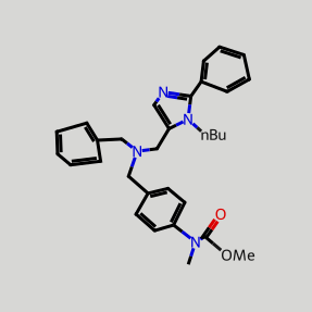 CCCCn1c(CN(Cc2ccccc2)Cc2ccc(N(C)C(=O)OC)cc2)cnc1-c1ccccc1